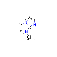 CN1CCn2ccnc21